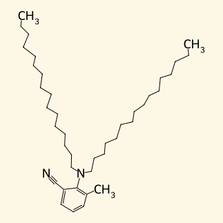 CCCCCCCCCCCCCCCCN(CCCCCCCCCCCCCCCC)c1c(C)cccc1C#N